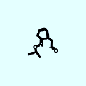 CC(C)ON=C1CC=CC=C1C[C]=O